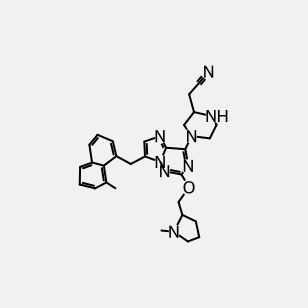 Cc1cccc2cccc(Cc3cnc4c(N5CCNC(CC#N)C5)nc(OCC5CCCN5C)nn34)c12